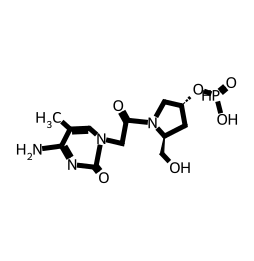 Cc1cn(CC(=O)N2C[C@H](O[PH](=O)O)C[C@H]2CO)c(=O)nc1N